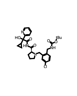 CC(C)(C)OC(=O)NCc1ccc(Cl)cc1CN1CCC[C@H]1C(=O)NC(=O)C(O)(c1ccccn1)C1CC1